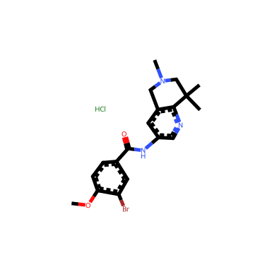 COc1ccc(C(=O)Nc2cnc3c(c2)CN(C)CC3(C)C)cc1Br.Cl